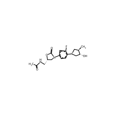 CC(=O)NC[C@H]1CN(c2ccc(N3C[C@@H](C)[C@H](O)C3)c(F)c2)C(=O)O1